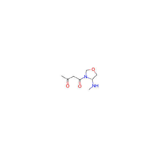 CNC1COCN1C(=O)CC(C)=O